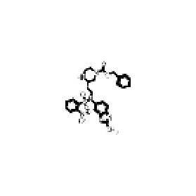 Cc1nc2ccc(N(CC[C@@H]3CN(C(=O)OCc4ccccc4)CCN3)S(=O)(=O)c3ccccc3[N+](=O)[O-])cc2s1